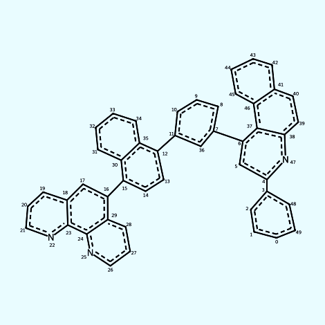 c1ccc(-c2cc(-c3cccc(-c4ccc(-c5cc6cccnc6c6ncccc56)c5ccccc45)c3)c3c(ccc4ccccc43)n2)cc1